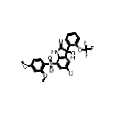 COc1ccc(S(=O)(=O)c2cc(Cl)cc3c2NC(=O)C3(O)c2ccccc2OC(F)(F)F)c(OC)c1